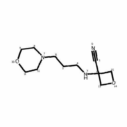 N#CC1(NCCCN2CCOCC2)COC1